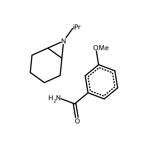 CC(C)N1C2CCCCC21.COc1cccc(C(N)=O)c1